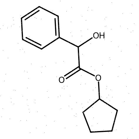 O=C(OC1CCCC1)C(O)c1ccccc1